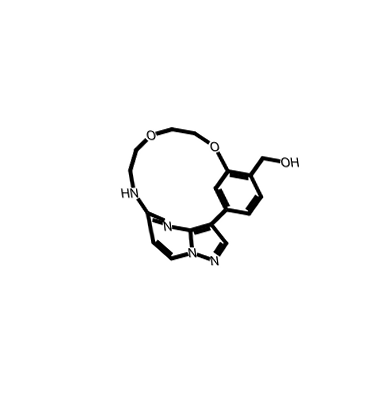 OCc1ccc2cc1OCCOCCNc1ccn3ncc-2c3n1